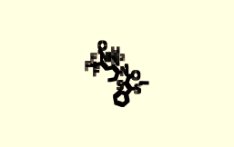 CCSc1c(C(=O)N(C)/C(CC)=C(N)/C=C(\NC=O)C(F)(F)F)sc2ccccc12